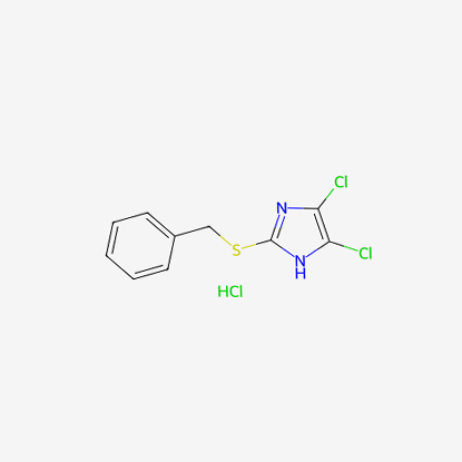 Cl.Clc1nc(SCc2ccccc2)[nH]c1Cl